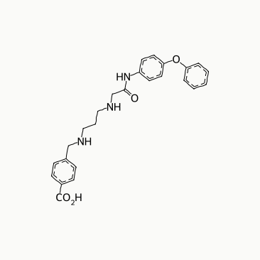 O=C(CNCCCNCc1ccc(C(=O)O)cc1)Nc1ccc(Oc2ccccc2)cc1